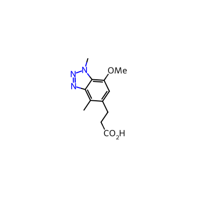 COc1cc(CCC(=O)O)c(C)c2nnn(C)c12